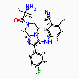 Cc1ccc(Nc2c(-c3ccc(F)cc3)nc3n2CCN(C(=O)C(C)(C)N)C3)cc1C#N